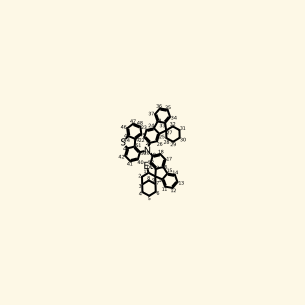 CCC1CC2CCCC(C2)C12c1ccccc1-c1ccc(N(c3ccc4c(c3)C3(CCCCC3)c3ccccc3-4)c3cccc4sc5ccccc5c34)cc12